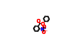 O=C(Oc1ccccc1)c1ccccc1[N+](=O)[O-]